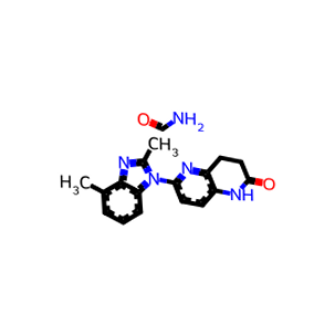 Cc1cccc2c1nc(C)n2-c1ccc2c(n1)CCC(=O)N2.NC=O